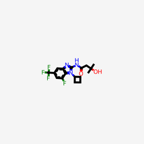 CC(C)(O)CC(=O)Nc1nc2cc(C(F)(F)F)cc(F)c2n1C1CCC1